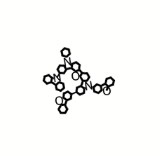 c1ccc(-n2c3ccc(-n4c5ccccc5c5ccccc54)cc3c3c4oc5c(ccc6c5c5cc(-c7ccc8oc9ccccc9c8c7)ccc5n6-c5ccc6oc7ccccc7c6c5)c4ccc32)cc1